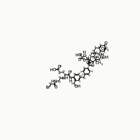 C[C@]12C=CC(=O)C=C1CC[C@@H]1[C@@H]2[C@@H](O)C[C@@]2(C)[C@H]1C[C@H]1O[C@@H](c3ccc(Cc4ccc(NC(=O)[C@H](CCC(=O)O)NCCNC(=O)CBr)c(CO)c4)cc3)O[C@]12C(=O)COP(=O)(O)O